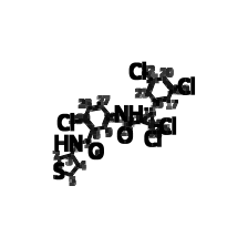 O=C(NC1CCSC1)c1cc(NC(=O)[C@H]2[C@H](c3cc(Cl)cc(Cl)c3)C2(Cl)Cl)ccc1Cl